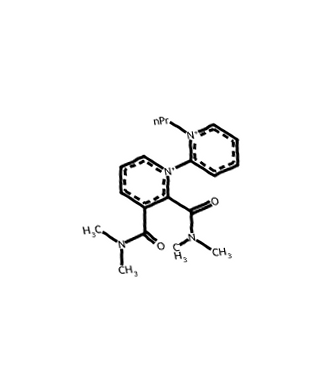 CCC[n+]1ccccc1-[n+]1cccc(C(=O)N(C)C)c1C(=O)N(C)C